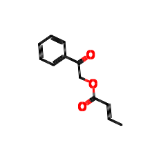 C/C=C/C(=O)OCC(=O)c1ccccc1